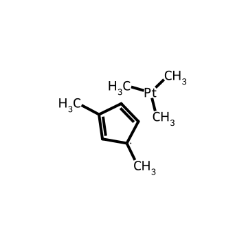 C[C]1C=CC(C)=C1.[CH3][Pt]([CH3])[CH3]